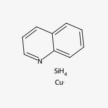 [Cu].[SiH4].c1ccc2ncccc2c1